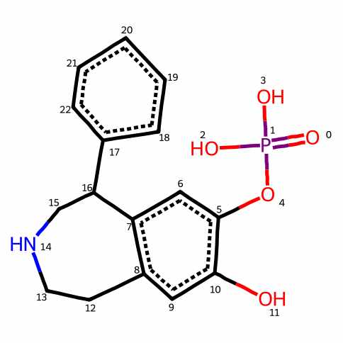 O=P(O)(O)Oc1cc2c(cc1O)CCNCC2c1ccccc1